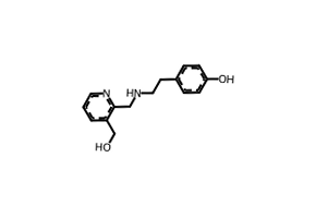 OCc1cccnc1CNCCc1ccc(O)cc1